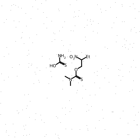 CCC(COC(=S)N(C)C)[N+](=O)[O-].NC(O)=S